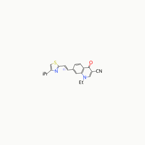 CCn1cc(C#N)c(=O)c2ccc(/C=C/c3nc(C(C)C)cs3)cc21